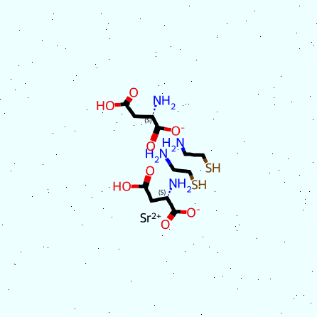 NCCS.NCCS.N[C@@H](CC(=O)O)C(=O)[O-].N[C@@H](CC(=O)O)C(=O)[O-].[Sr+2]